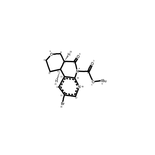 CC(C)(C)OC(=O)N1C(=O)[C@@H]2COCC[C@@H]2c2cc(Br)cnc21